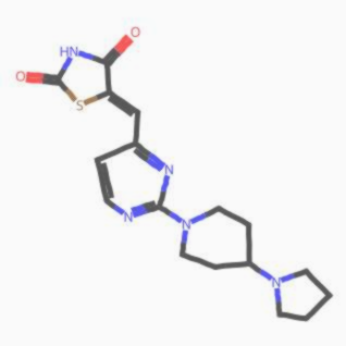 O=C1NC(=O)/C(=C/c2ccnc(N3CCC(N4CCCC4)CC3)n2)S1